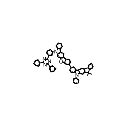 CC1(C)c2ccccc2-c2cc3c4cc(-c5ccc6c(c5)oc5cc7c(cc56)c5ccccc5n7-c5cccc(-c6nc(-c7ccccc7)nc(-c7ccccc7)n6)c5)ccc4n(-c4ccccc4)c3cc21